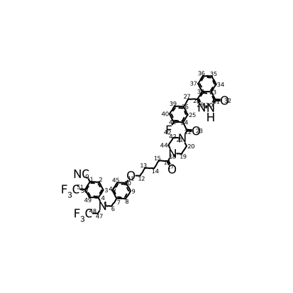 N#Cc1ccc(N(Cc2ccc(OCCCCC(=O)N3CCN(C(=O)c4cc(Cc5n[nH]c(=O)c6ccccc56)ccc4F)CC3)cc2)CC(F)(F)F)cc1C(F)(F)F